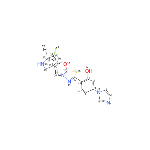 Oc1cc(-n2ccnc2)ccc1-c1nnc(O[C@@H]2[C@H]3CN[C@H](C3)[C@H]2F)s1